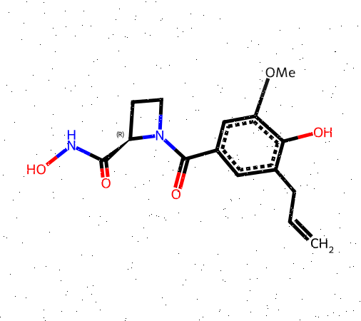 C=CCc1cc(C(=O)N2CC[C@@H]2C(=O)NO)cc(OC)c1O